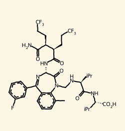 Cc1cccc2c1N(CN[C@H](C(=O)N[C@H](C(=O)O)C(C)C)C(C)C)C(=O)[C@@H](NC(=O)[C@H](CCC(F)(F)F)[C@H](CCC(F)(F)F)C(N)=O)N=C2c1cccc(F)c1